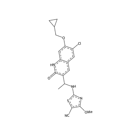 COc1nc(NC(C)c2cc3cc(Cl)c(OCC4CC4)cc3[nH]c2=O)sc1C#N